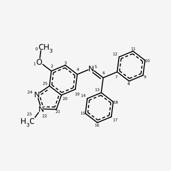 COc1cc(N=C(c2ccccc2)c2ccccc2)cc2cn(C)nc12